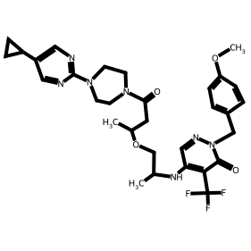 COc1ccc(Cn2ncc(NC(C)COC(C)CC(=O)N3CCN(c4ncc(C5CC5)cn4)CC3)c(C(F)(F)F)c2=O)cc1